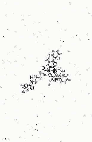 CCNC(=O)[C@]1(Cc2ccccc2)CCCN(C(=O)[C@@H](Cc2ccc3ccccc3c2)NC(=O)CCCCCNC(=O)OC(C)(C)C)C1